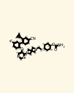 N#Cc1ccc(-c2cc(F)ccc2Oc2cncnc2N2CC3(CN(CC[C@H]4CC[C@H](OC(N)=O)CC4)C3)C2)c(C2CC2)c1